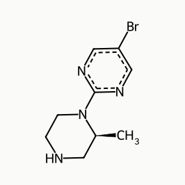 C[C@H]1CNCCN1c1ncc(Br)cn1